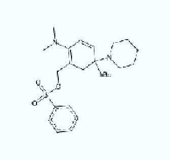 CCCCC1(N2CCCCC2)C=CC(N(C)C)=C(COS(=O)(=O)c2ccccc2)C1